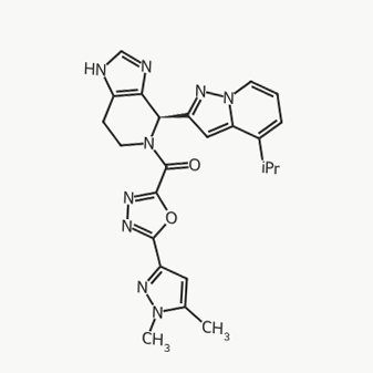 Cc1cc(-c2nnc(C(=O)N3CCc4[nH]cnc4[C@H]3c3cc4c(C(C)C)cccn4n3)o2)nn1C